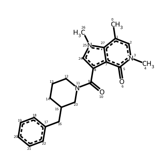 Cc1cn(C)c(=O)c2c(C(=O)N3CCCC(Cc4ccccc4)C3)cn(C)c12